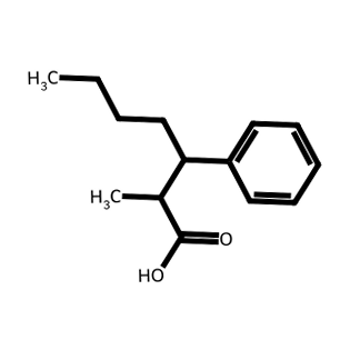 CCCCC(c1ccccc1)C(C)C(=O)O